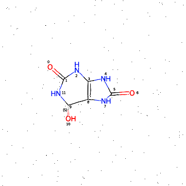 O=C1Nc2[nH]c(=O)[nH]c2[C@H](O)N1